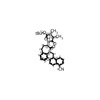 COc1ccc2c(C#N)cccc2c1CN1C(=O)[C@@H](NC(=O)[C@H](C)N(C)C(=O)OC(C)(C)C)CCc2ccccc21